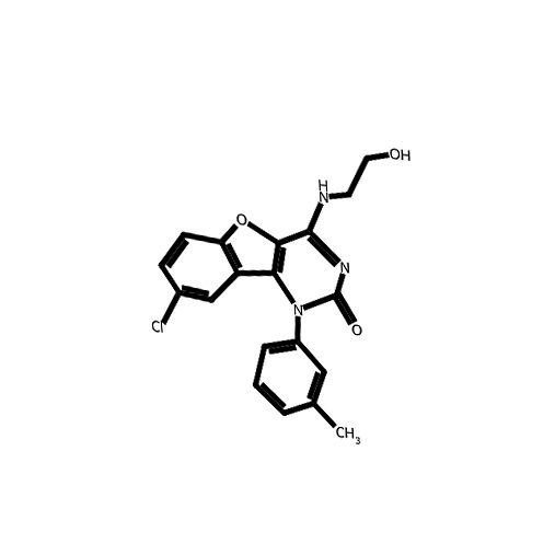 Cc1cccc(-n2c(=O)nc(NCCO)c3oc4ccc(Cl)cc4c32)c1